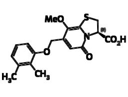 COc1c(COc2cccc(C)c2C)cc(=O)n2c1SC[C@H]2C(=O)O